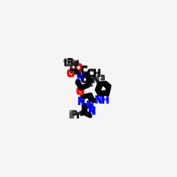 CC(C)c1cnn2c(Nc3cccc([N+](=O)[O-])c3)cc(OC3CCC(C)(C)N(C(=O)OC(C)(C)C)C3)nc12